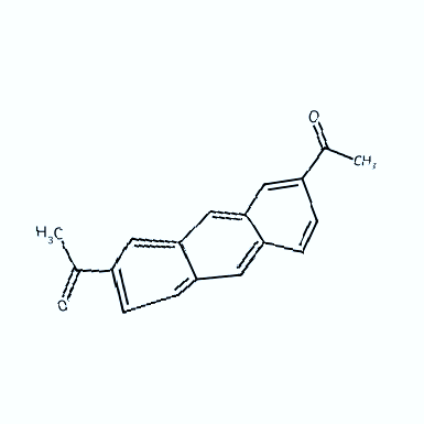 CC(=O)c1ccc2cc3ccc(C(C)=O)cc3cc2c1